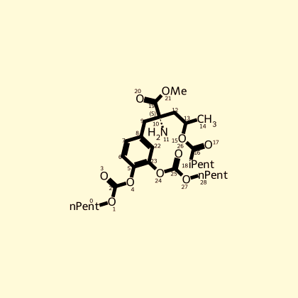 CCCCCOC(=O)Oc1ccc(C[C@](N)(CC(C)OC(=O)C(C)CCC)C(=O)OC)cc1OC(=O)OCCCCC